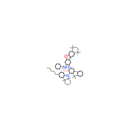 CCCCCc1cc2c3c(c1)C1(C)CCCCC1(C)N3c1c(c(-c3cc4c(cc3Nc3ccccc3)oc3cc5c(cc34)C(C)(C)CCC5(C)C)cc3c1C(C)(C)c1ccccc1-3)B2